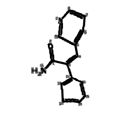 NC(=O)C(=Cc1cccnc1)c1ccccc1